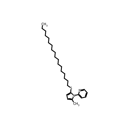 CCCCCCCCCCCCCCCCCCSc1ccc(C)n1-c1ccccn1